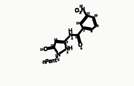 CCCCCn1[nH]c(NC(=O)c2cccc([N+](=O)[O-])c2)cc1=O